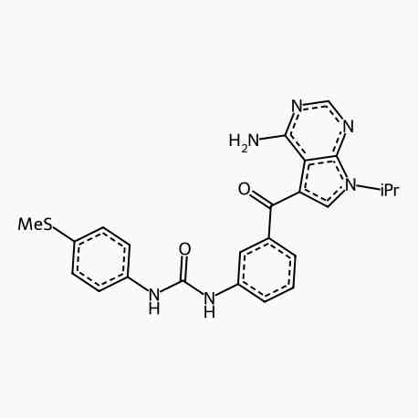 CSc1ccc(NC(=O)Nc2cccc(C(=O)c3cn(C(C)C)c4ncnc(N)c34)c2)cc1